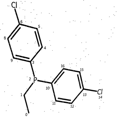 CCP(c1ccc(Cl)cc1)c1ccc(Cl)cc1